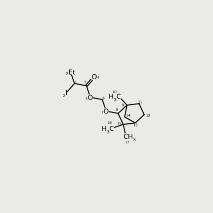 CCC(I)C(=O)OCOC1C2(C)CCC(C2)C1(C)C